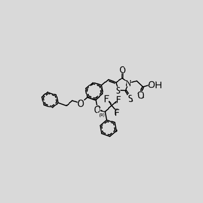 O=C(O)CN1C(=O)C(=Cc2ccc(OCCc3ccccc3)c(O[C@H](c3ccccc3)C(F)(F)F)c2)SC1=S